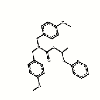 COc1ccc(CN(Cc2ccc(OC)cc2)C(=O)OC(C)Oc2ccccn2)cc1